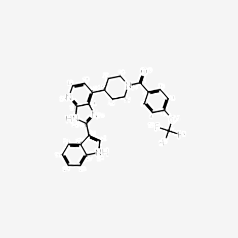 O=C(c1ccc(OC(F)(F)F)cc1)N1CCC(c2ccnc3[nH]c(-c4c[nH]c5ccccc45)nc23)CC1